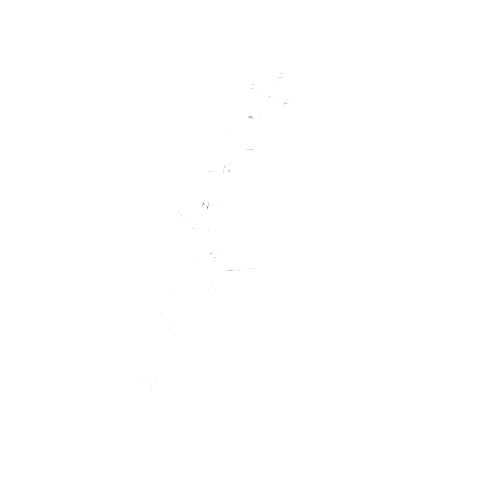 CCCCCC#CC(CS(=O)(=O)N1CCN(c2ccc(C(F)(F)F)cc2)CC1)NC(=O)O